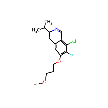 COCCCOc1cc2c(c(Cl)c1F)C=NC(C(C)C)C2